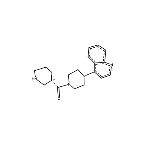 O=C([C@H]1CCCNC1)N1CCN(c2ccnc3ccccc23)CC1